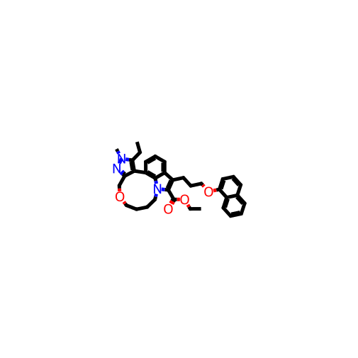 CCOC(=O)c1c(CCCOc2cccc3ccccc23)c2cccc3c2n1CCCCOCc1nn(C)c(CC)c1-3